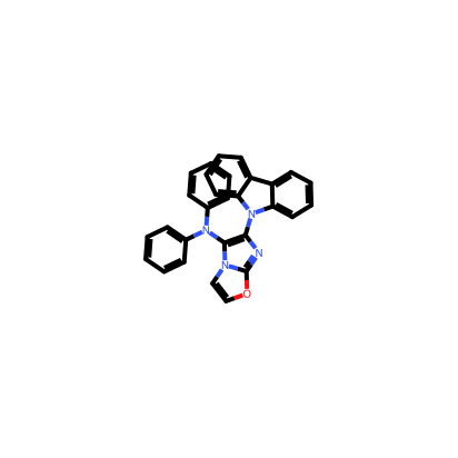 c1ccc(N(c2ccccc2)c2c(-n3c4ccccc4c4ccccc43)nc3occn23)cc1